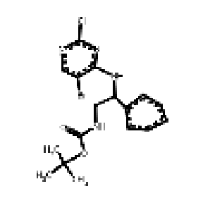 CC(C)(C)OC(=O)NCC(Nc1nc(Cl)ncc1Br)c1ccccc1